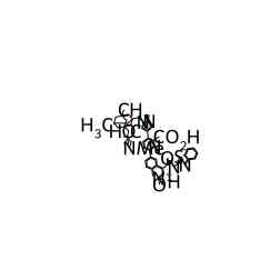 CNCCOC12CC3(C)CC(C)(CC(Cn4ncc(-c5ccc(-c6ccc7c[n+]([O-])cc(C(=O)Nc8nc9ccccc9s8)c7c6)nc5C(=O)O)c4C)(C3)C1)C2